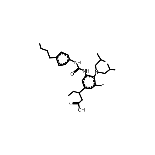 CCCCc1ccc(NC(=O)Nc2cc(C(CC)CC(=O)O)cc(F)c2N(CC(C)C)CC(C)C)cc1